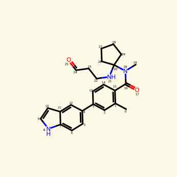 Cc1cc(-c2ccc3[nH]ccc3c2)ccc1C(=O)N(C)C1(NCCC=O)CCCC1